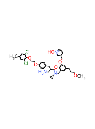 COCCCc1cc(CN(C(=O)C(CN)Cc2ccc(OCCOc3c(Cl)cc(C)cc3Cl)cc2)C2CC2)cc(OCc2ccc[n+](O)c2)c1